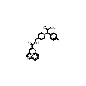 NC(=O)C(c1ccc(F)cc1)N1CCC(CNC(=O)C2=Cc3cnc4cccc(n34)S2)CC1